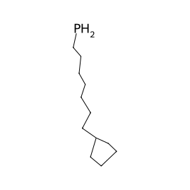 PCCCCCCCC1CCCC1